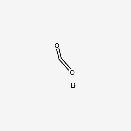 O=C=O.[Li]